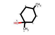 CC1CCC(C)(O)CC1